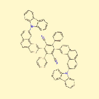 N#Cc1c(-c2ccccc2)c(-c2ccc3ccc4ccc(-n5c6ccccc6c6ccccc65)cc4c3c2)c(C#N)c(-c2ccccc2)c1-c1ccc2ccc3ccc(-n4c5ccccc5c5ccccc54)cc3c2c1